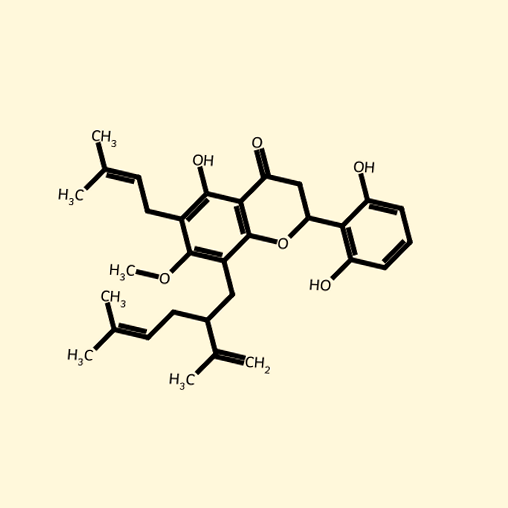 C=C(C)C(CC=C(C)C)Cc1c(OC)c(CC=C(C)C)c(O)c2c1OC(c1c(O)cccc1O)CC2=O